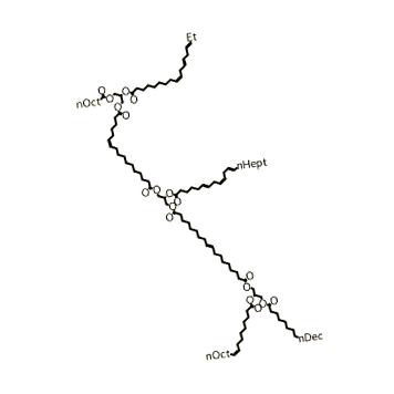 CC/C=C/C/C=C/C/C=C\CCCCCCCC(=O)OC(COC(=O)CCCC/C=C\CCCCCCCCCC(=O)OCC(COC(=O)CCCCCCC/C=C/CCCCCCCC(=O)OCC(COC(=O)CCCCCCCCCCCCCCCCC)OC(=O)CCCCCCC/C=C\CCCCCCCC)OC(=O)CCCC/C=C/C/C=C\C/C=C/CCCCCCC)COC(=O)CCCCCCCC